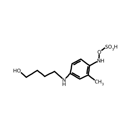 Cc1cc(NCCCCO)ccc1NOS(=O)(=O)O